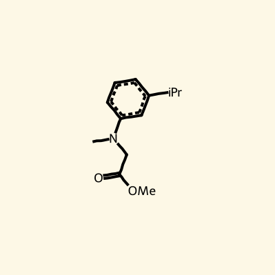 COC(=O)CN(C)c1cccc(C(C)C)c1